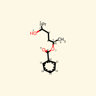 CCCC(O)CC[C@@H](C)OC(=O)c1[c]cccc1